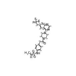 CNS(=O)(=O)Nc1ccc(CC(=O)N2CCN(c3ncnc4sc(CC(F)(F)F)cc34)CC2)cc1